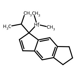 CC(C)[C]1([Hf]([CH3])[CH3])C=Cc2cc3c(cc21)CCC3